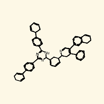 C1=CCC(c2ccc(C3=NC(c4ccc(C5=CCCC=C5)cc4)=NC(C4=CC=CC(C5CC(c6ccccc6)=C(c6ccc7c(c6)CCC=C7)C=N5)C4)N3)cc2)C=C1